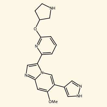 COc1cc2ncc(-c3cccc(OC4CCNC4)n3)n2cc1-c1cn[nH]c1